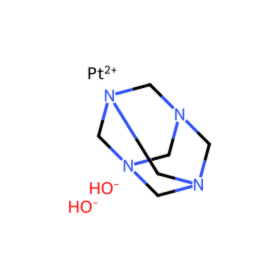 C1N2CN3CN1CN(C2)C3.[OH-].[OH-].[Pt+2]